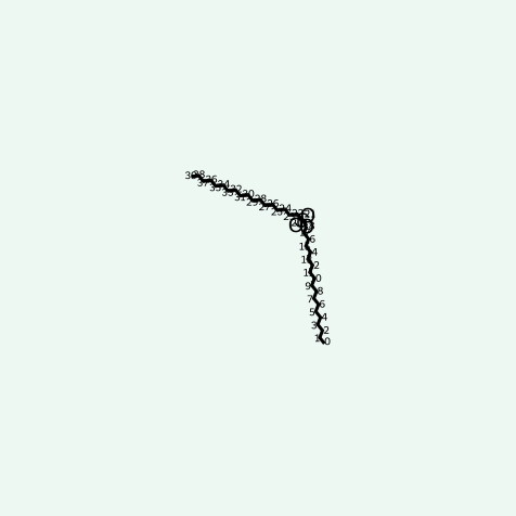 CCCCCCCCCCCCCCCCCCOS(=O)(=O)CCCCCCCCCCCCCCCCCC